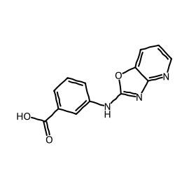 O=C(O)c1cccc(Nc2nc3ncccc3o2)c1